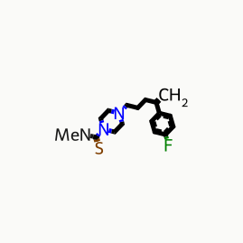 C=C(CCCN1CCN(C(=S)NC)CC1)c1ccc(F)cc1